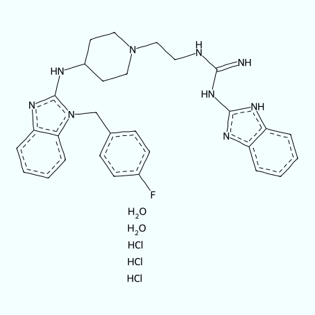 Cl.Cl.Cl.N=C(NCCN1CCC(Nc2nc3ccccc3n2Cc2ccc(F)cc2)CC1)Nc1nc2ccccc2[nH]1.O.O